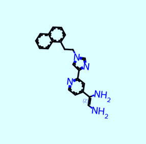 N/C=C(\N)c1ccnc(-c2cn(CCc3cccc4ccccc34)cn2)c1